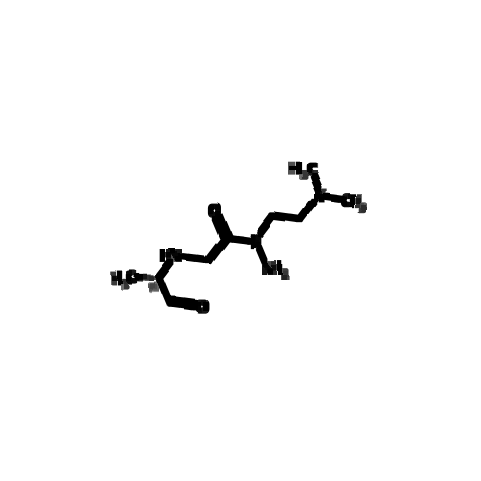 C[C@@H](C=O)NCC(=O)N(N)CCN(C)C